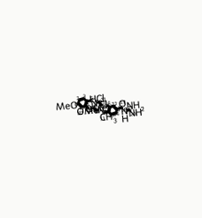 COc1ccc(CN2CCN(C(C)c3ccc(C(=O)NC(=N)N)cc3Cl)CC2)c(OC)c1OC.Cl